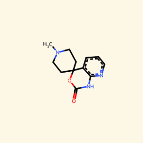 CN1CCC2(CC1)OC(=O)Nc1ncccc12